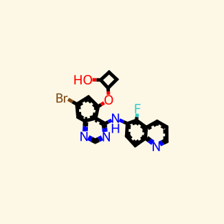 OC1CCC1Oc1cc(Br)cc2ncnc(Nc3ccc4ncccc4c3F)c12